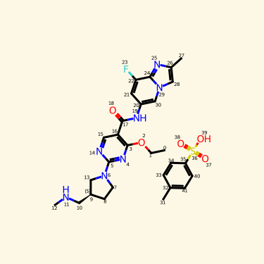 CCOc1nc(N2CC[C@@H](CNC)C2)ncc1C(=O)Nc1cc(F)c2nc(C)cn2c1.Cc1ccc(S(=O)(=O)O)cc1